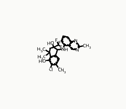 Cc1ncc2c(NC3c4cc(C)c(Cl)c(O)c4C(C)(C)CC3(O)C(F)(F)F)cccc2n1